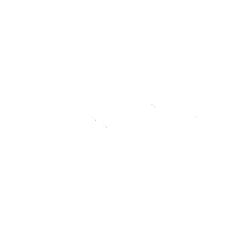 CCCCCCCCCCCCNc1ccc(N2CCC(c3ccc(F)cc3)=N2)cc1